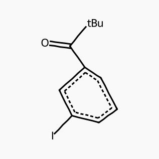 CC(C)(C)C(=O)c1cccc(I)c1